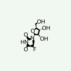 O=c1[nH]c(=O)n([C@@H]2O[C@@H](CO)[C@H](O)[C@H]2O)cc1F